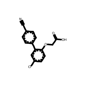 N#Cc1ccc(-c2cc(Cl)ccc2OCC(=O)O)cc1